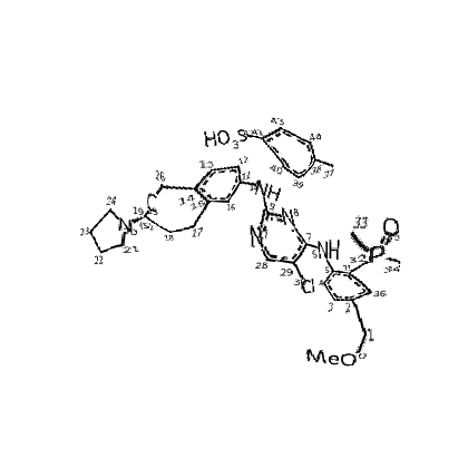 COCc1ccc(Nc2nc(Nc3ccc4c(c3)CC[C@@H](N3CCCC3)CC4)ncc2Cl)c(P(C)(C)=O)c1.Cc1ccc(S(=O)(=O)O)cc1